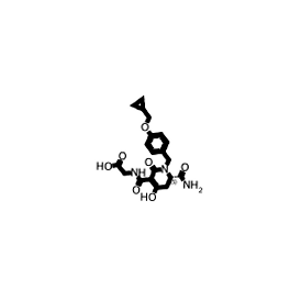 NC(=O)[C@@H]1CC(O)=C(C(=O)NCC(=O)O)C(=O)N1Cc1ccc(OCC2CC2)cc1